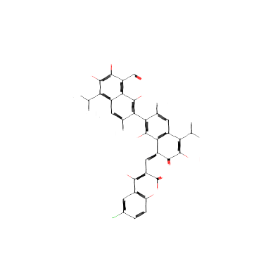 Cc1cc2c(c(O)c1-c1c(C)cc3c(C(C)C)c(O)c(O)c(C=O)c3c1O)/C(=C/c1c(O)c3cc(Cl)ccc3oc1=O)C(=O)C(O)=C2C(C)C